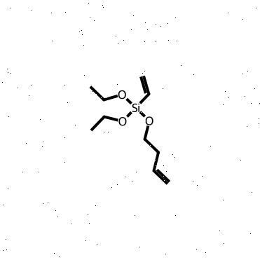 C=CCCO[Si](C=C)(OCC)OCC